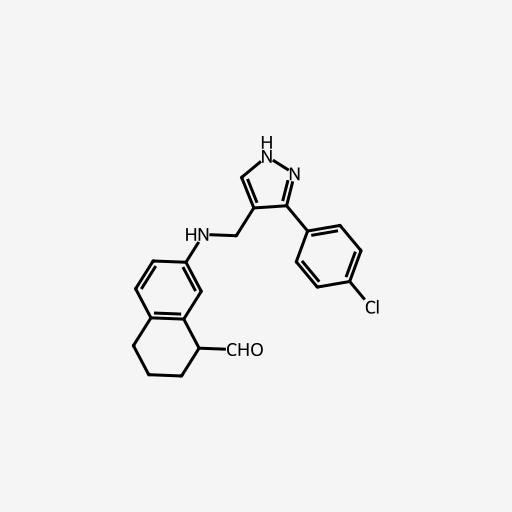 O=CC1CCCc2ccc(NCc3c[nH]nc3-c3ccc(Cl)cc3)cc21